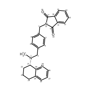 CN(Cc1ccc(CN2C(=O)c3ccccc3C2=O)cc1)[C@H]1CCCc2cccnc21